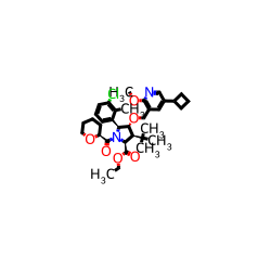 CCOC(=O)[C@@H]1[C@H](C(C)(C)C)[C@H](OCc2cc(C3CCC3)cnc2OC)[C@H](c2cccc(Cl)c2C)N1C(=O)[C@@H]1CCCCO1